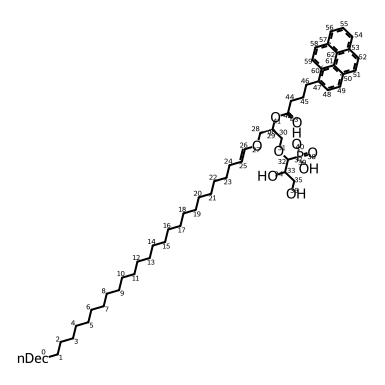 CCCCCCCCCCCCCCCCCCCCCCCCCCCCCCCCCCC=COC[C@H](COC(C(O)CO)P(=O)(O)O)OC(=O)CCCc1ccc2ccc3cccc4ccc1c2c34